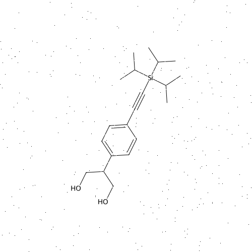 CC(C)[Si](C#Cc1ccc(C(CO)CO)cc1)(C(C)C)C(C)C